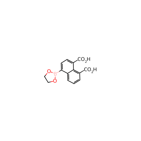 O=C(O)c1cccc2c(B3OCCO3)ccc(C(=O)O)c12